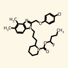 CCCC(F)OC(=O)N1CCCCC1CCCn1c(COc2ccc(Cl)cc2)nc2c(C)c(C)ccc21